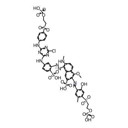 CNc1ccc2c(OC)c(/N=N/c3cc(C)c(S(=O)(=O)CCOS(=O)(=O)O)cc3O)c(S(=O)(=O)O)cc2c1/N=N/c1cc(Nc2nc(Cl)nc(Nc3ccc(S(=O)(=O)CCOS(=O)(=O)O)cc3)n2)ccc1S(=O)(=O)O